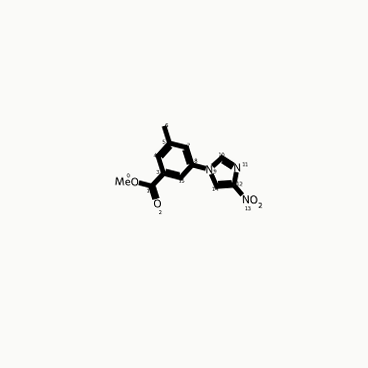 COC(=O)c1cc(C)cc(-n2cnc([N+](=O)[O-])c2)c1